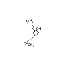 CC1(CCCCc2ccc(O)c(CCCCC3(C)CC3)c2)CC1